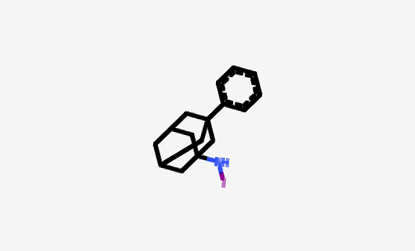 INC12CC3CC(C1)CC(c1ccccc1)(C3)C2